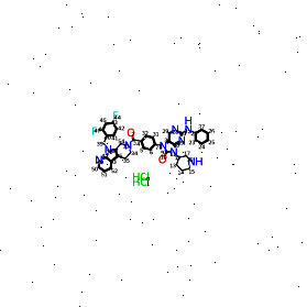 Cl.Cl.O=C(c1ccc(-n2c(=O)n(C3CCCNC3)c3nc(Nc4ccccc4)ncc32)cc1)N1CCc2c(n(Cc3ccc(F)cc3F)c3ncccc23)C1